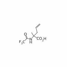 C=CCC(C)(NC(=O)C(F)(F)F)C(=O)O